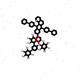 [2H]c1c([2H])c([2H])c(-c2ccc(N(c3ccc(-c4ccc5c(-c6ccc(-c7ccccc7)cc6)c6c(ccc7cccnc76)c(-c6ccc(-c7ccccc7)cc6)c5c4)cc3)c3c([2H])c([2H])c([2H])c([2H])c3[2H])c(-c3c([2H])c([2H])c([2H])c([2H])c3[2H])c2)c([2H])c1[2H]